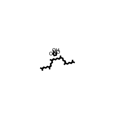 CC(C)=CCCC(C)=CCCC(C)=CCCC=C(C)CCC=C(C)CCC=C(C)C.O=C1CCC(=O)N1O